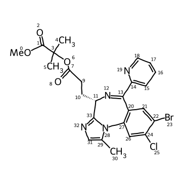 COC(=O)C(C)(C)OC(=O)CC[C@@H]1N=C(c2ccccn2)c2cc(Br)c(Cl)cc2-n2c(C)cnc21